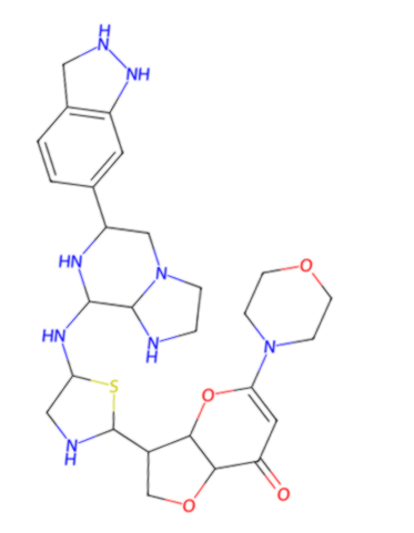 O=C1C=C(N2CCOCC2)OC2C1OCC2C1NCC(NC2NC(c3ccc4c(c3)NNC4)CN3CCNC23)S1